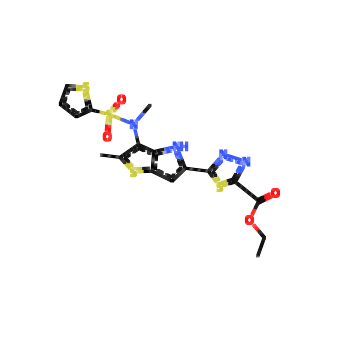 CCOC(=O)c1nnc(-c2cc3sc(C)c(N(C)S(=O)(=O)c4cccs4)c3[nH]2)s1